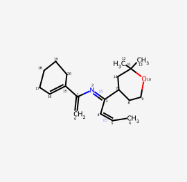 C=C(/N=C(\C=C/C)C1CCOC(C)(C)C1)C1=CCCCC1